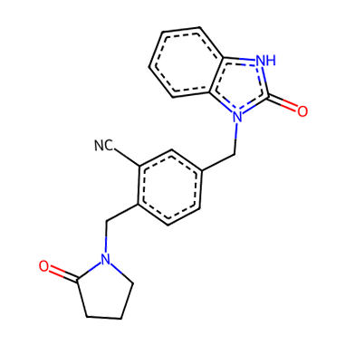 N#Cc1cc(Cn2c(=O)[nH]c3ccccc32)ccc1CN1CCCC1=O